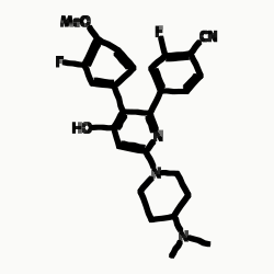 COc1ccc(-c2c(O)cc(N3CCC(N(C)C)CC3)nc2-c2ccc(C#N)c(F)c2)cc1F